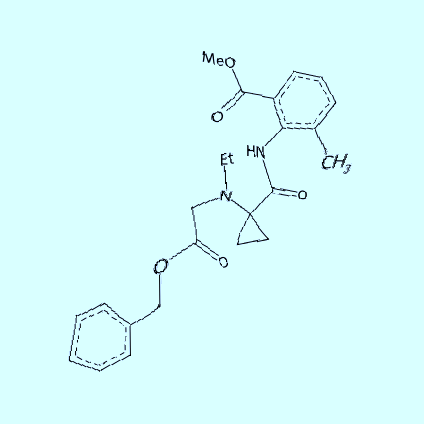 CCN(CC(=O)OCc1ccccc1)C1(C(=O)Nc2c(C)cccc2C(=O)OC)CC1